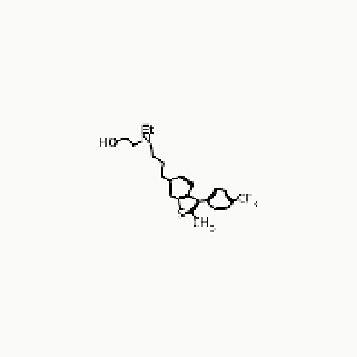 CCN(CCO)CCCCc1ccc2c(-c3ccc(C(F)(F)F)cc3)c(C)sc2c1